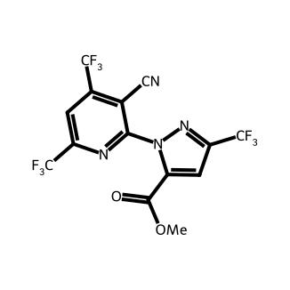 COC(=O)c1cc(C(F)(F)F)nn1-c1nc(C(F)(F)F)cc(C(F)(F)F)c1C#N